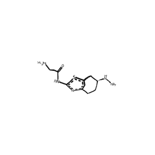 CCCN[C@H]1CCc2nc(NC(=O)CN)sc2C1